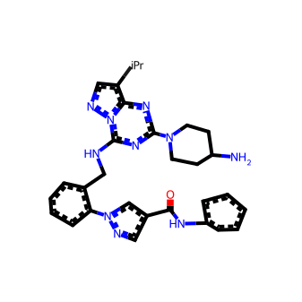 CC(C)c1cnn2c(NCc3ccccc3-n3cc(C(=O)Nc4ccccc4)cn3)nc(N3CCC(N)CC3)nc12